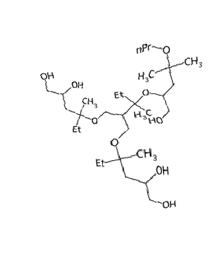 CCCOC(C)(C)CC(CO)OC(C)(CC)C(COC(C)(CC)CC(O)CO)COC(C)(CC)CC(O)CO